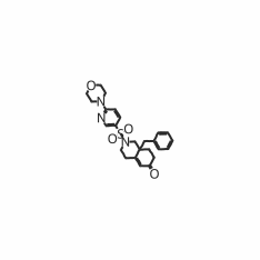 O=C1C=C2CCN(S(=O)(=O)c3ccc(N4CCOCC4)nc3)CC2(Cc2ccccc2)CC1